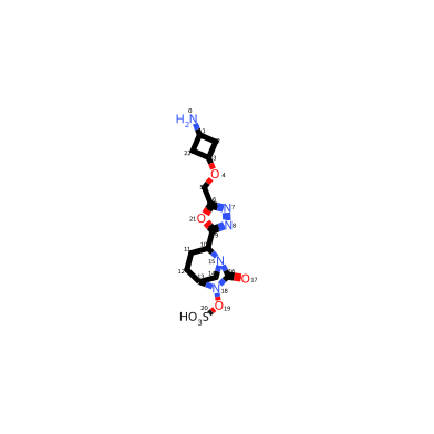 NC1CC(OCc2nnc(C3CCC4CN3C(=O)N4OS(=O)(=O)O)o2)C1